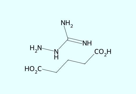 N=C(N)NN.O=C(O)CCCC(=O)O